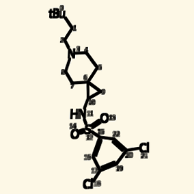 CC(C)(C)CCN1CCC2(CC1)CC2NS(=O)(=O)c1cc(Cl)cc(Cl)c1